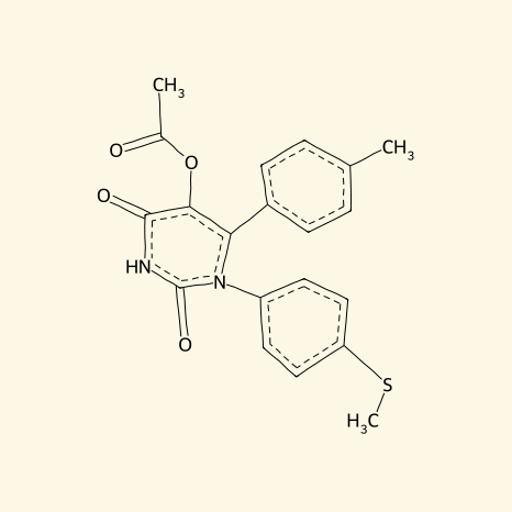 CSc1ccc(-n2c(-c3ccc(C)cc3)c(OC(C)=O)c(=O)[nH]c2=O)cc1